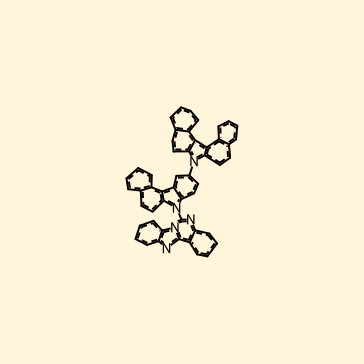 c1ccc2c(c1)ccc1c2c2cc(-n3c4ccc5ccccc5c4c4c5ccccc5ccc43)ccc2n1-c1nc2ccccc2c2nc3ccccc3n12